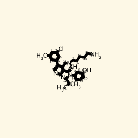 Cc1cc(Cl)cc(-c2cnc3nc(C(C)C)n(-c4cccc(O)c4)c(=O)c3c2CN(C)CCCCCN)c1